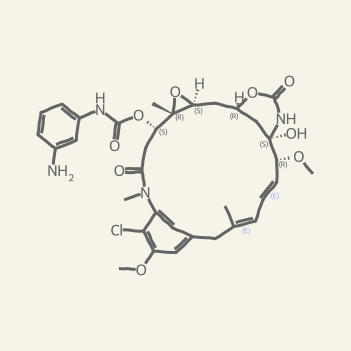 COc1cc2cc(c1Cl)N(C)C(=O)C[C@H](OC(=O)Nc1cccc(N)c1)[C@]1(C)O[C@H]1C[C@@H]1C[C@@](O)(NC(=O)O1)[C@H](OC)/C=C/C=C(\C)C2